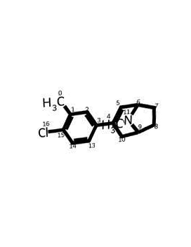 Cc1cc(C2=CC3CCC(C2)N3C)ccc1Cl